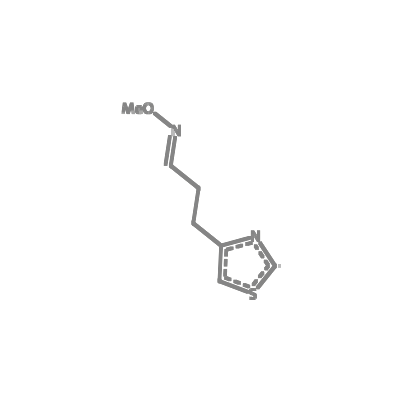 CON=CCCc1cs[c]n1